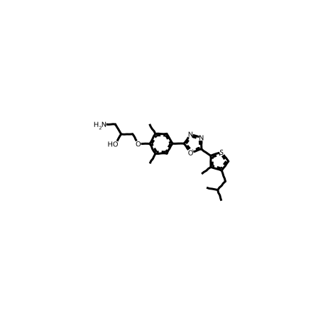 Cc1cc(-c2nnc(-c3scc(CC(C)C)c3C)o2)cc(C)c1OCC(O)CN